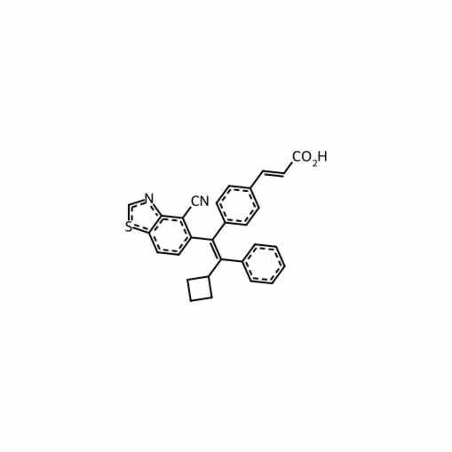 N#Cc1c(C(=C(c2ccccc2)C2CCC2)c2ccc(C=CC(=O)O)cc2)ccc2scnc12